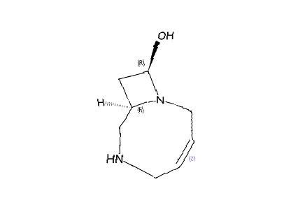 O[C@@H]1C[C@@H]2CNC/C=C\CN21